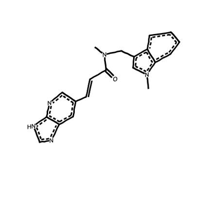 CN(Cc1cn(C)c2ccccc12)C(=O)C=Cc1cnc2[nH]cnc2c1